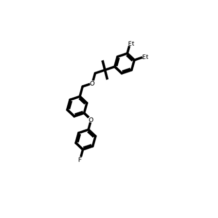 CCc1ccc(C(C)(C)COCc2cccc(Oc3ccc(F)cc3)c2)cc1CC